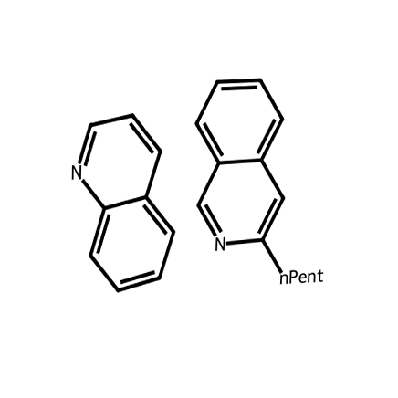 CCCCCc1cc2ccccc2cn1.c1ccc2ncccc2c1